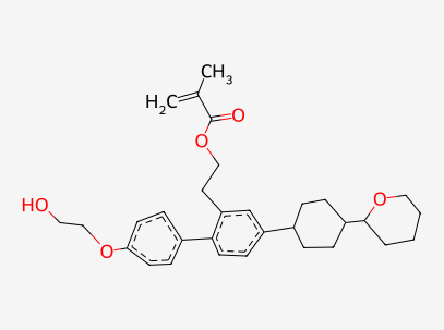 C=C(C)C(=O)OCCc1cc(C2CCC(C3CCCCO3)CC2)ccc1-c1ccc(OCCO)cc1